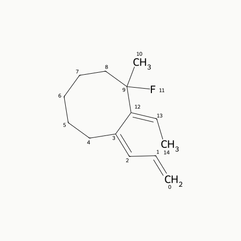 C=C/C=C1/CCCCCC(C)(F)/C1=C/C